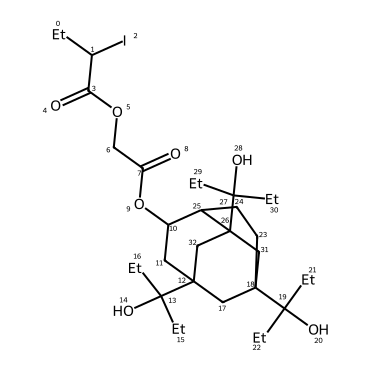 CCC(I)C(=O)OCC(=O)OC1CC2(C(O)(CC)CC)CC3(C(O)(CC)CC)CCC1C(C(O)(CC)CC)(C3)C2